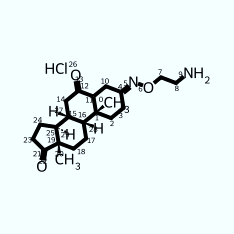 C[C@]12CCC(=NOCCN)CC1C(=O)C[C@@H]1[C@H]2CC[C@]2(C)C(=O)CC[C@@H]12.Cl